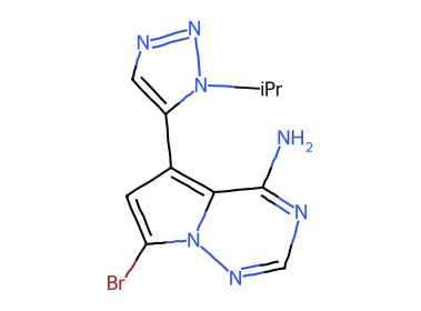 CC(C)n1nncc1-c1cc(Br)n2ncnc(N)c12